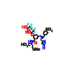 CSCC[C@H](NC(=O)c1cccc(CN(Cc2ccc([N+](=O)[O-])cc2)Cc2c[nH]cn2)c1)C(=O)O.O=C(O)C(F)(F)F.O=C(O)C(F)(F)F